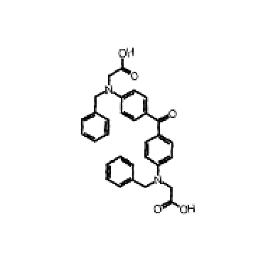 O=C(O)CN(Cc1ccccc1)c1ccc(C(=O)c2ccc(N(CC(=O)O)Cc3ccccc3)cc2)cc1